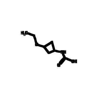 CCOC1CC(NC(=O)O)C1